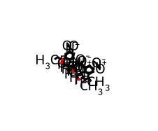 CCC(C)c1cc([N+](=O)[O-])cc([N+](=O)[O-])c1C(OC(=O)OC(c1c(C(C)CC)cc([N+](=O)[O-])cc1[N+](=O)[O-])(C(F)(F)F)C(F)(F)F)(C(F)(F)F)C(F)(F)F